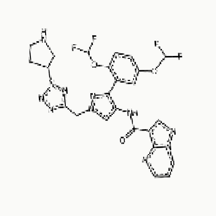 O=C(Nc1cn(Cc2nnn(C3CCNC3)n2)nc1-c1cc(OC(F)F)ccc1OC(F)F)c1cnn2cccnc12